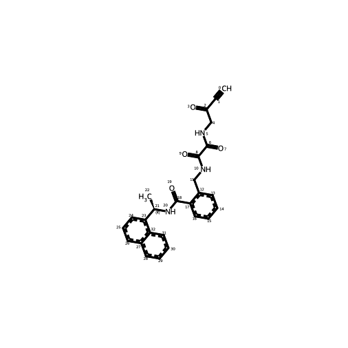 C#CC(=O)CNC(=O)C(=O)NCc1ccccc1C(=O)N[C@H](C)c1cccc2ccccc12